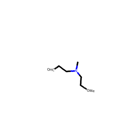 COCCN(C)CCC=O